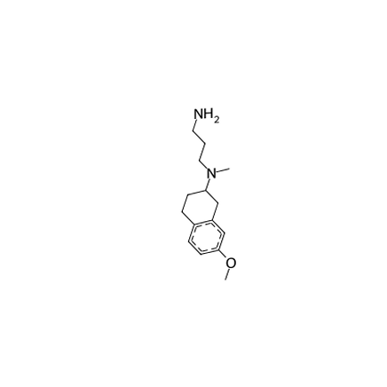 COc1ccc2c(c1)CC(N(C)CCCN)CC2